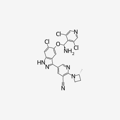 C[C@@H]1CCN1c1ncc(-c2n[nH]c3cc(Cl)c(O[C@H](N)c4c(Cl)cncc4Cl)cc23)cc1C#N